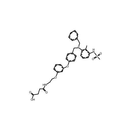 Cc1c(NS(C)(=O)=O)cccc1N(Cc1ccccc1)Cc1ccc(Oc2cccc(OCCNC(=O)CCC(=O)O)c2)cc1